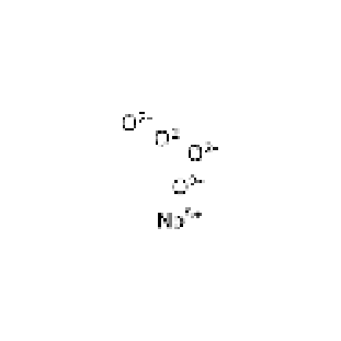 [Nb+5].[O-2].[O-2].[O-2].[O-2]